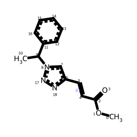 COC(=O)/C=C/c1cn(C(C)c2ccccc2)nn1